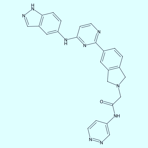 O=C(CN1Cc2ccc(-c3nccc(Nc4ccc5[nH]ncc5c4)n3)cc2C1)Nc1ccnnc1